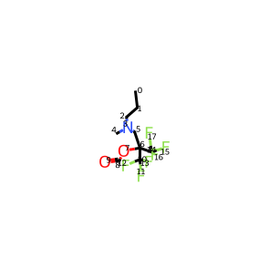 CCCN(C)CC(OC=O)(C(F)(F)F)C(F)(F)F